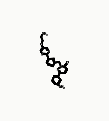 NCCOc1cnc(-c2cccc(Cn3nc(-c4cccc(N)c4)ccc3=O)c2)nc1